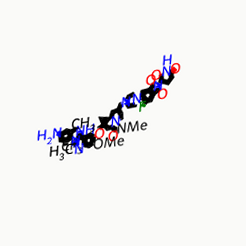 CNC(=O)C(CC1(COc2cc3c(N[C@H](C)c4cc(N)cc(C(F)(F)F)c4)nc(C)nc3cc2OC)CC1)N1CCC(CN2CCN(c3cc4c(cc3F)C(=O)N(C3CCC(=O)NC3=O)C4=O)CC2)CC1